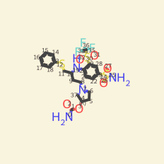 NC(=O)O[C@@H]1CCN(CCC(CSc2ccccc2)Nc2ccc(S(N)(=O)=O)cc2S(=O)(=O)C(F)(F)F)C1